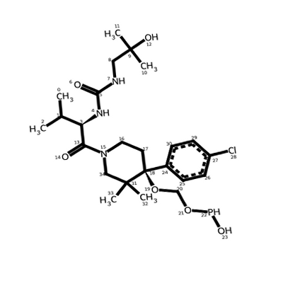 CC(C)[C@@H](NC(=O)NCC(C)(C)O)C(=O)N1CC[C@](OCOPO)(c2ccc(Cl)cc2)C(C)(C)C1